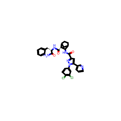 NC(=O)[C@H](Cc1ccccc1)NC(=O)[C@@H]1C2CCC(C2)C1NC(=O)c1cc(-c2cccnc2)n(-c2ccc(Cl)c(Cl)c2)n1